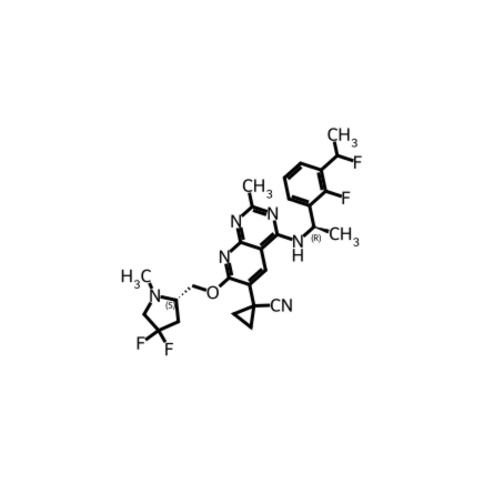 Cc1nc(N[C@H](C)c2cccc(C(C)F)c2F)c2cc(C3(C#N)CC3)c(OC[C@@H]3CC(F)(F)CN3C)nc2n1